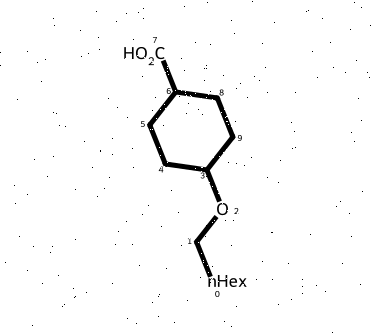 CCCCCCCOC1CCC(C(=O)O)CC1